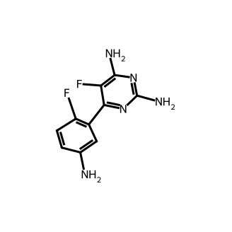 Nc1ccc(F)c(-c2nc(N)nc(N)c2F)c1